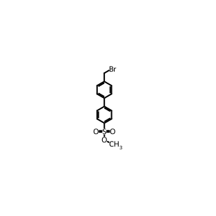 COS(=O)(=O)c1ccc(-c2ccc(CBr)cc2)cc1